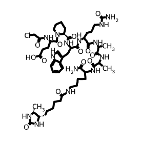 CC(NC(=O)C(C)NC(=O)C(CCCNC(N)=O)NC(=O)C(Cc1c[nH]c2ccccc12)NC(=O)[C@@H]1CCCCN1C(=O)C(CCC(=O)O)NC(=O)CCl)C(=O)NC(CCCCNC(=O)CCCCC[C@@H]1NC(=O)N[C@@H]1C)C(N)=O